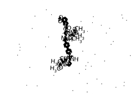 COC(=O)N[C@H](C(=O)N1CCC[C@H]1c1nc(-c2ccc(-c3ccc(-c4cnc([C@@H]5C[C@@H](OC(=O)N6Cc7ccc8c(c7C6)OCO8)CN5C(=O)[C@@H](NC(=O)OC)C(C)C)[nH]4)cc3)cc2)c[nH]1)C(C)C